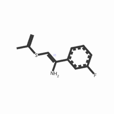 C=C(C)S/C=C(\N)c1cccc(F)c1